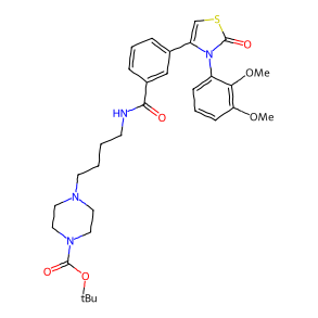 COc1cccc(-n2c(-c3cccc(C(=O)NCCCCN4CCN(C(=O)OC(C)(C)C)CC4)c3)csc2=O)c1OC